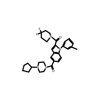 Cc1cccc(-n2c(C(=O)N3CCC(F)(F)CC3)cc3cc(C(=O)N4CCN(C5CCCC5)CC4)ccc32)c1